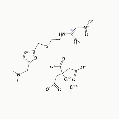 CN/C(=C\[N+](=O)[O-])NCCSCc1ccc(CN(C)C)o1.O=C([O-])CC(O)(CC(=O)[O-])C(=O)[O-].[Bi+3]